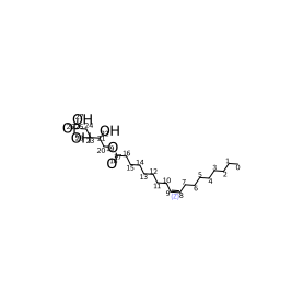 CCCCCCCC/C=C\CCCCCCCC(=O)OCC(O)CCP(=O)(O)O